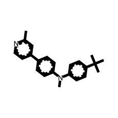 Cc1cc(-c2ccc(N(C)c3ccc(C(C)(C)C)cc3)cc2)ccn1